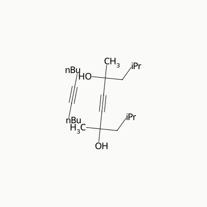 CC(C)CC(C)(O)C#CC(C)(O)CC(C)C.CCCCC#CCCCC